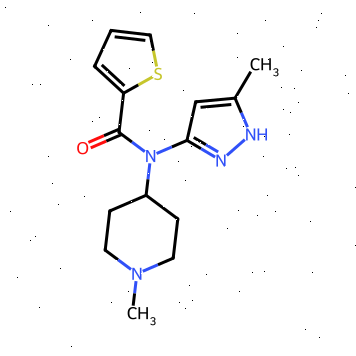 Cc1cc(N(C(=O)c2cccs2)C2CCN(C)CC2)n[nH]1